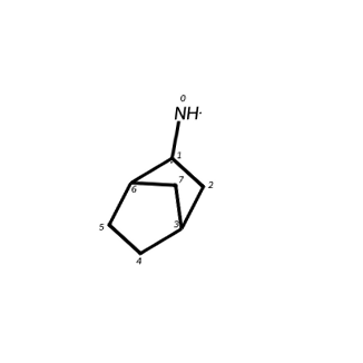 [NH][C]1CC2CCC1C2